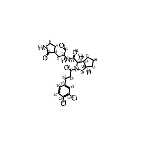 O=C[C@H](C[C@@H]1CCNC1=O)NC(=O)C1[C@H]2CCC[C@H]2CN1C(=O)CCc1ccc(Cl)c(Cl)c1